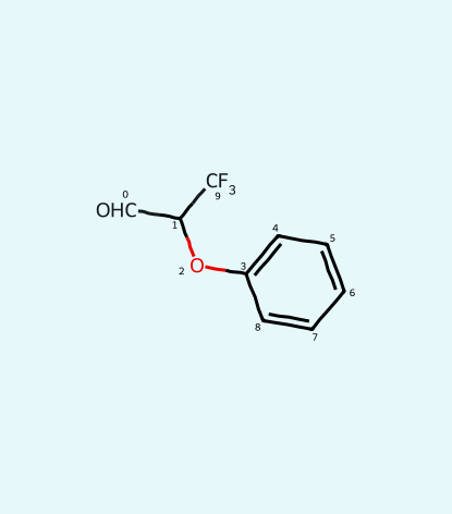 O=CC(Oc1ccccc1)C(F)(F)F